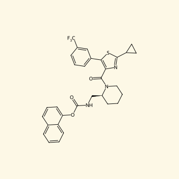 O=C(NC[C@@H]1CCCCN1C(=O)c1nc(C2CC2)sc1-c1cccc(C(F)(F)F)c1)Oc1cccc2ccccc12